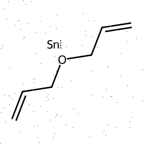 C=CCOCC=C.[Sn]